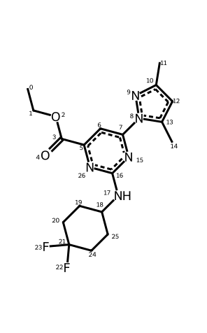 CCOC(=O)c1cc(-n2nc(C)cc2C)nc(NC2CCC(F)(F)CC2)n1